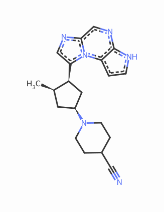 C[C@@H]1C[C@H](N2CCC(C#N)CC2)C[C@@H]1c1cnc2cnc3[nH]ccc3n12